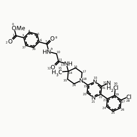 COC(=O)c1ccc(C(=O)NCC(=O)NC2(C)CCN(c3cnc(-c4cccc(Cl)c4Cl)c(N)n3)CC2)cc1